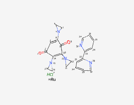 Cl.O=C1C=C(N2CC2)C(=O)C(N2CC2)=C1N1CC1.[Ru].c1ccc(-c2ccccn2)nc1